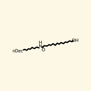 CCCCCCCCCCCCCCCCCCNC(=O)CCCCCCCCCCCCCCO